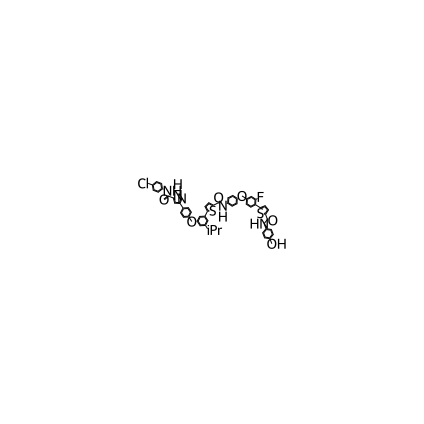 CC(C)c1cc(Oc2ccc(-c3cc(C(=O)Nc4ccc(Cl)cc4)[nH]n3)cc2)cc(-c2ccc(C(=O)Nc3ccc(Oc4ccc(-c5ccc(C(=O)Nc6ccc(O)cc6)s5)c(F)c4)cc3)s2)c1